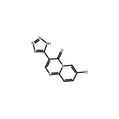 O=c1c(-c2nnn[nH]2)cnc2ccc(Cl)cn12